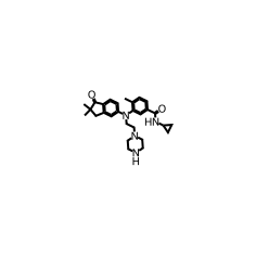 Cc1ccc(C(=O)NC2CC2)cc1N(CCN1CCNCC1)c1ccc2c(c1)CC(C)(C)C2=O